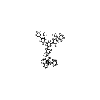 CC1(C)c2ccccc2-c2ccc(-c3cc(-c4ccc(-c5cc6ccc7cccc8c7c6c(c5)n8-c5ccccc5)cc4)cc(-c4ccc5c(c4)C(C)(C)c4ccccc4-5)c3)cc21